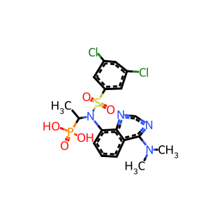 CC(N(c1cccc2c(N(C)C)ncnc12)S(=O)(=O)c1cc(Cl)cc(Cl)c1)P(=O)(O)O